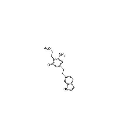 CC(=O)OCCn1c(N)nc(CCc2ccc3cc[nH]c3c2)cc1=O